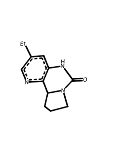 CCc1cnc2c(c1)NC(=O)N1CCCC21